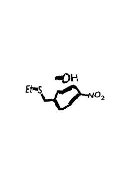 CCSCc1ccc([N+](=O)[O-])cc1.CO